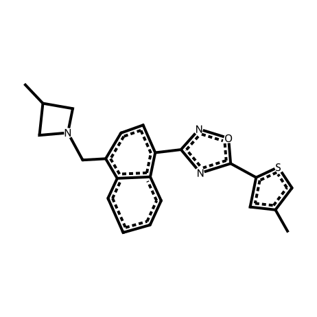 Cc1csc(-c2nc(-c3ccc(CN4CC(C)C4)c4ccccc34)no2)c1